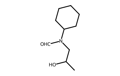 CC(O)CN(C=O)C1CCCCC1